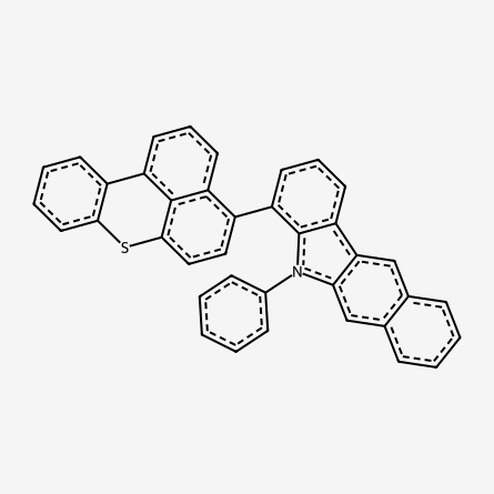 c1ccc(-n2c3cc4ccccc4cc3c3cccc(-c4ccc5c6c(cccc46)-c4ccccc4S5)c32)cc1